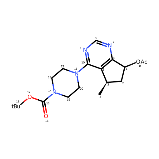 CC(=O)OC1C[C@@H](C)c2c1ncnc2N1CCN(C(=O)OC(C)(C)C)CC1